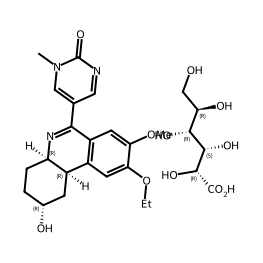 CCOc1cc2c(cc1OC)C(c1cnc(=O)n(C)c1)=N[C@@H]1CC[C@@H](O)C[C@H]21.O=C(O)[C@H](O)[C@@H](O)[C@H](O)[C@H](O)CO